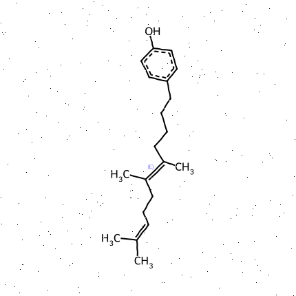 CC(C)=CCC/C(C)=C(\C)CCCCc1ccc(O)cc1